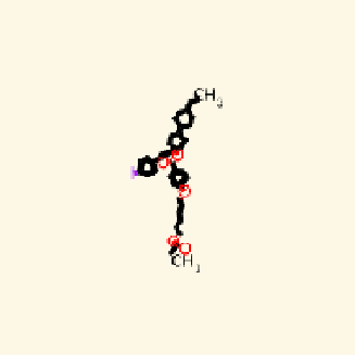 C=CC(=O)OCCCCCCOc1ccc(C(=O)OC2(C#Cc3ccc(I)cc3)CCC(C3CCC(CCC)CC3)CC2)cc1